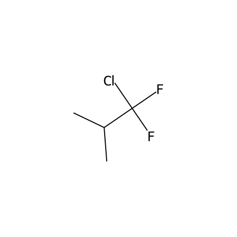 CC(C)C(F)(F)Cl